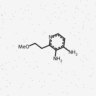 COCCc1nccc(N)c1N